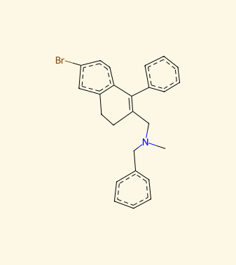 CN(CC1=C(c2ccccc2)c2ccc(Br)cc2CC1)Cc1ccccc1